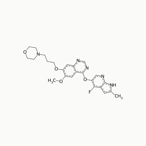 COc1cc2c(Oc3cnc4[nH]c(C)cc4c3F)ncnc2cc1OCCCN1CCOCC1